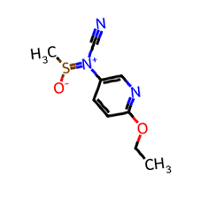 CCOc1ccc([N+](C#N)=S(C)[O-])cn1